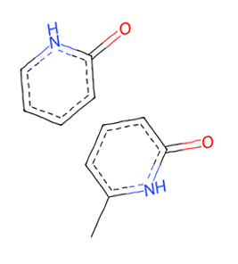 Cc1cccc(=O)[nH]1.O=c1cccc[nH]1